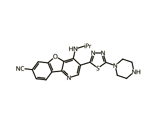 CC(C)Nc1c(-c2nnc(N3CCNCC3)s2)cnc2c1oc1cc(C#N)ccc12